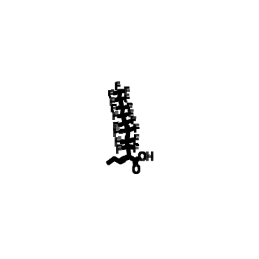 CCC=C(C(=O)O)C(F)(F)C(F)(F)C(F)(F)C(F)(F)C(F)(F)C(F)(F)C(F)(F)C(F)(F)F